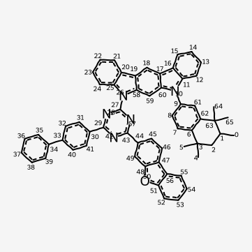 CC1CC(C)(C)c2ccc(-n3c4ccccc4c4cc5c6ccccc6n(-c6nc(-c7ccc(-c8ccccc8)cc7)nc(-c7ccc8c(c7)oc7ccccc78)n6)c5cc43)cc2C1(C)C